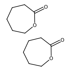 O=C1CCCCCO1.O=C1CCCCCO1